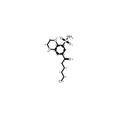 NS(=O)(=O)c1cc(C(=O)CCCCCl)cc2c1OCCO2